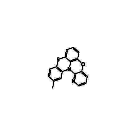 Cc1ccc2c(c1)N1c3ncccc3Oc3cccc(c31)S2